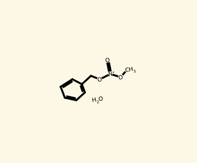 CO[N+](=O)OCc1ccccc1.O